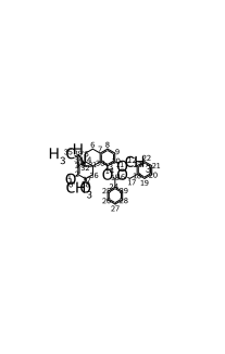 COC1=CC2[C@@H]3Cc4ccc(OC)c(OC(OCc5ccccc5)c5ccccc5)c4[C@]2(CCN3C)CC1=O